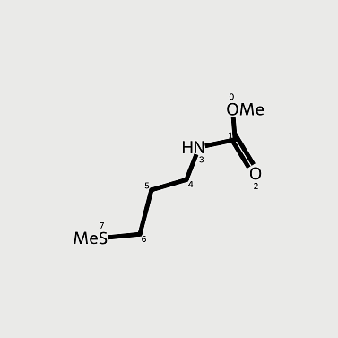 COC(=O)NCCCSC